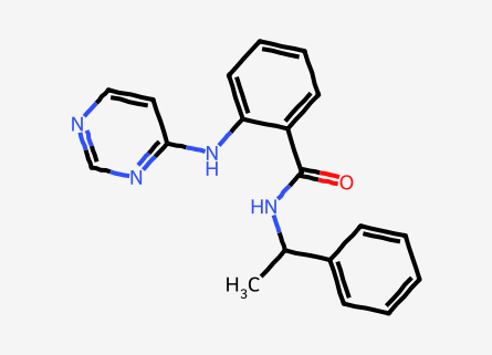 CC(NC(=O)c1ccccc1Nc1ccncn1)c1ccccc1